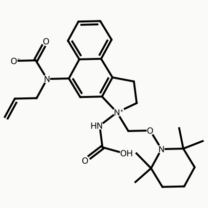 C=CCN(C(=O)[O-])c1cc2c(c3ccccc13)CC[N+]2(CON1C(C)(C)CCCC1(C)C)NC(=O)O